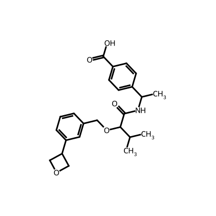 CC(NC(=O)C(OCc1cccc(C2COC2)c1)C(C)C)c1ccc(C(=O)O)cc1